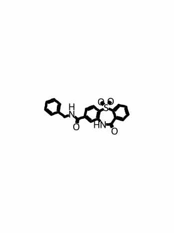 O=C(NCc1ccccc1)c1ccc2c(c1)NC(=O)c1ccccc1S2(=O)=O